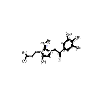 CCC(CC)CCn1c(C#N)cn(CC(=O)c2cc(C(C)(C)C)c(O)c(C(C)(C)C)c2)/c1=N\Br